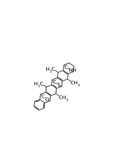 CC1C2=C(C3CCC2CN3)C(C)C2=C1C1CSC2C2=C1C(C)C1=C(C2C)C2OCC1c1ccccc12